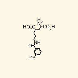 N[C@@H](C[C@H](CCCNC(=O)c1cccc([125I])c1)C(=O)O)C(=O)O